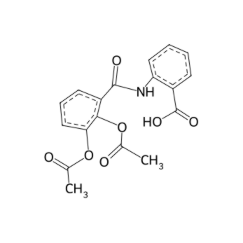 CC(=O)Oc1cccc(C(=O)Nc2ccccc2C(=O)O)c1OC(C)=O